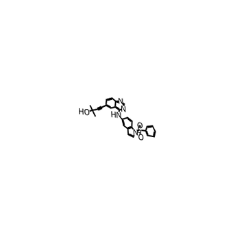 CC(C)(O)C#Cc1ccc2ncnc(Nc3ccc4c(ccn4S(=O)(=O)c4ccccc4)c3)c2c1